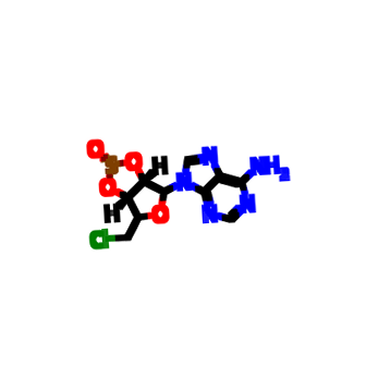 Nc1ncnc2c1ncn2C1OC(CCl)[C@@H]2OS(=O)O[C@H]12